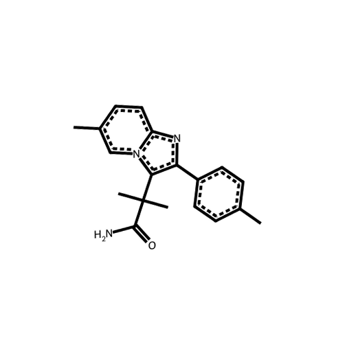 Cc1ccc(-c2nc3ccc(C)cn3c2C(C)(C)C(N)=O)cc1